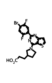 O=C(O)CCC1CCN(c2nc(-c3cc(F)c(Br)cc3F)nc3ccsc23)C1